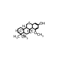 COC1=CC(O)=CC2SC[C@@H]3[C@@]4(C)CCCC(C)(C)[C@@H]4CC[C@@]3(C)C12